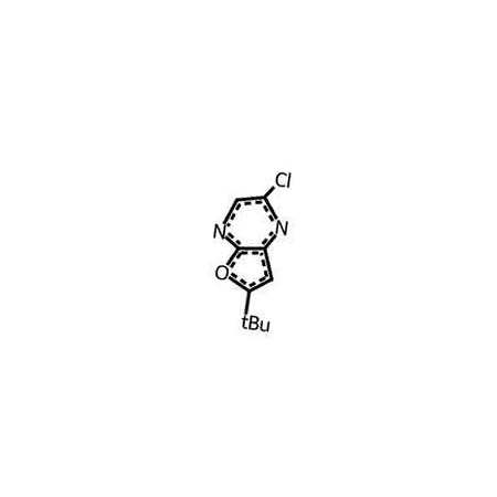 CC(C)(C)c1cc2nc(Cl)cnc2o1